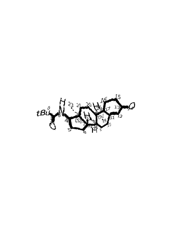 CC(C)(C)C(=O)NC1CC[C@H]2[C@@H]3CCC4=CC(=O)CC[C@]4(C)[C@@H]3CC[C@]12C